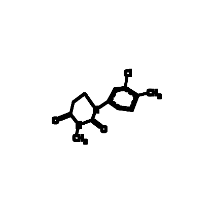 Cc1ccc(N2CCC(=O)N(C)C2=O)cc1Cl